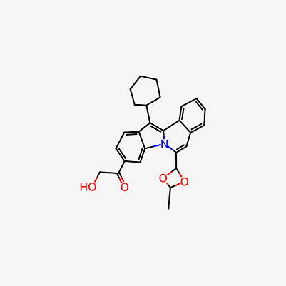 CC1OC(c2cc3ccccc3c3c(C4CCCCC4)c4ccc(C(=O)CO)cc4n23)O1